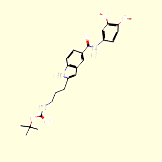 COc1ccc(NC(=O)c2ccc3[nH]c(CCCNC(=O)OC(C)(C)C)cc3c2)cc1OC